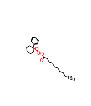 CC(C)(C)CCCCCCCCC(=O)OOOC1(c2ccccc2)CCCCC1